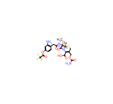 CO[C@@]1(NC(=O)Cc2ccc(OC(=O)C(F)(F)F)cc2N)C(=O)N2C(C(=O)O)=C(COC(N)=O)CS[C@H]21